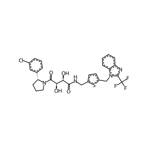 O=C(NCc1ccc(Cn2c(C(F)(F)F)nc3ccccc32)s1)[C@H](O)[C@@H](O)C(=O)N1CCC[C@@H]1c1cccc(Cl)c1